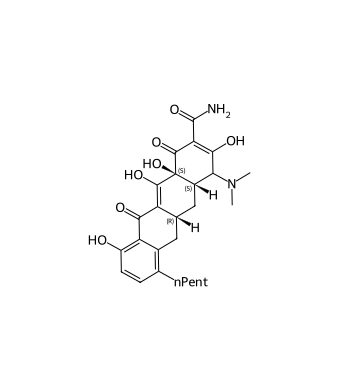 CCCCCc1ccc(O)c2c1C[C@H]1C[C@H]3C(N(C)C)C(O)=C(C(N)=O)C(=O)[C@@]3(O)C(O)=C1C2=O